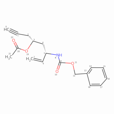 C#CC[C@H](C[C@@H](C=C)NC(=O)OCc1ccccc1)OC(C)=O